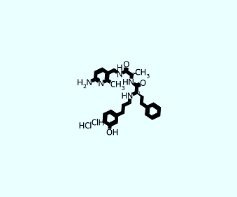 Cc1nc(N)ccc1CNC(=O)[C@H](C)NC(=O)[C@@H](CCc1ccccc1)NCCCc1cccc(O)c1.Cl.Cl